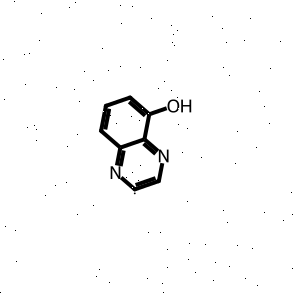 Oc1cccc2n[c]cnc12